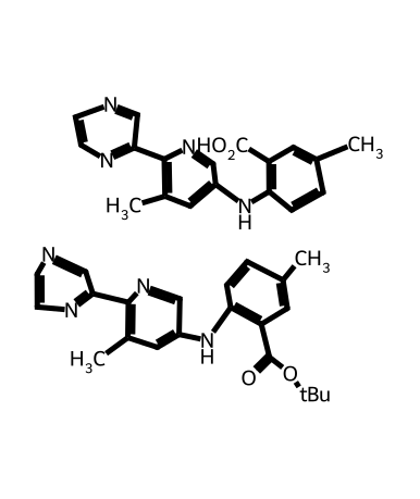 Cc1ccc(Nc2cnc(-c3cnccn3)c(C)c2)c(C(=O)O)c1.Cc1ccc(Nc2cnc(-c3cnccn3)c(C)c2)c(C(=O)OC(C)(C)C)c1